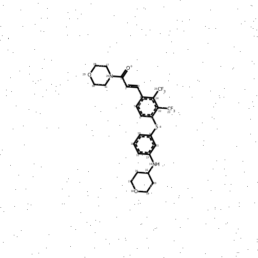 O=C(/C=C/c1ccc(Sc2cccc(NC3CCOCC3)c2)c(C(F)(F)F)c1C(F)(F)F)N1CCOCC1